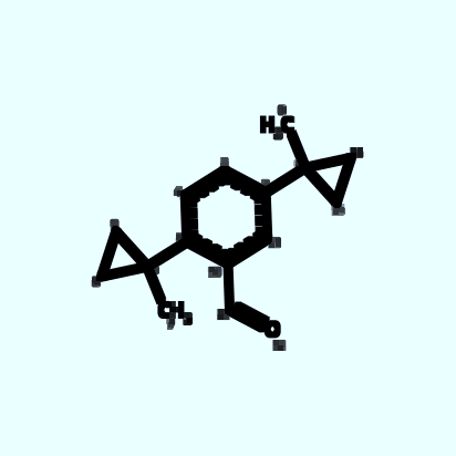 CC1(c2ccc(C3(C)CC3)c(C=O)c2)CC1